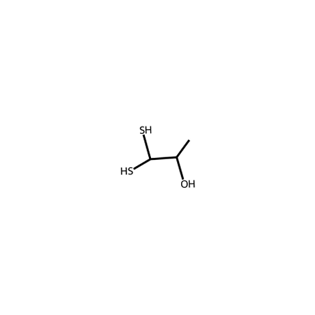 CC(O)C(S)S